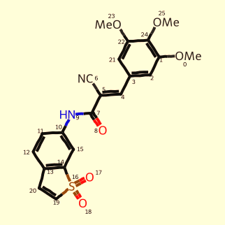 COc1cc(/C=C(\C#N)C(=O)Nc2ccc3c(c2)S(=O)(=O)C=C3)cc(OC)c1OC